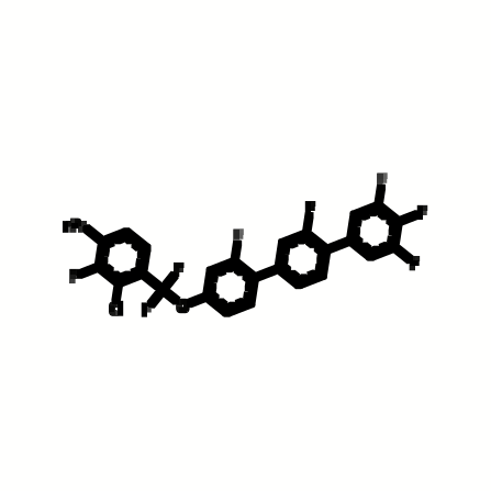 CCCc1ccc(C(F)(F)Oc2ccc(-c3ccc(-c4cc(F)c(F)c(F)c4)c(F)c3)c(F)c2)c(Cl)c1F